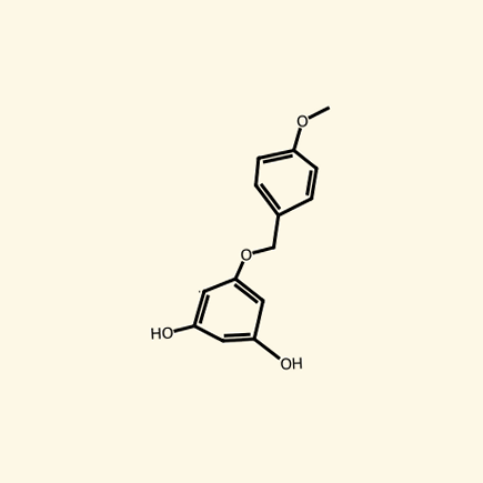 COc1ccc(COc2[c]c(O)cc(O)c2)cc1